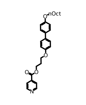 CCCCCCCCOc1ccc(-c2ccc(OCCCOC(=O)c3ccncc3)cc2)cc1